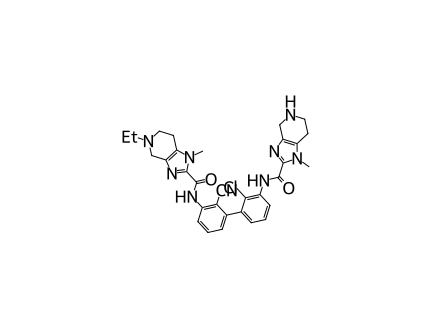 CCN1CCc2c(nc(C(=O)Nc3cccc(-c4cccc(NC(=O)c5nc6c(n5C)CCNC6)c4Cl)c3C#N)n2C)C1